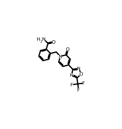 NC(=O)c1ccccc1Cn1ccc(-c2noc(C(F)(F)F)n2)cc1=O